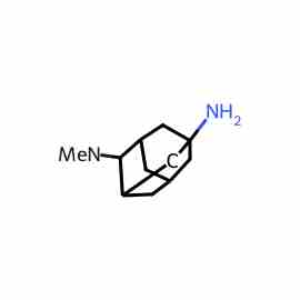 CNC1C2CC3CC1CC(N)(C3)C2